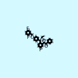 CCOC(c1ccc(OCc2cc(F)ccc2F)cc1)c1ccc(F)cc1C(=O)C(=O)c1ccccc1